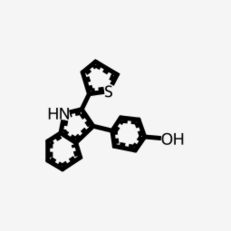 Oc1ccc(-c2c(-c3cccs3)[nH]c3ccccc23)cc1